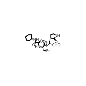 CC(C)C[C@H](NC(=O)C(=O)NC1CCCCC1)C(=O)N[C@H](C=O)C[C@@H]1CCNC1=O